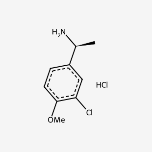 COc1ccc([C@H](C)N)cc1Cl.Cl